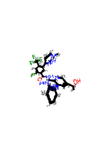 CC(O)C1=CC(=N)/C(=C(/NC(=O)c2cc(C3C=CN(C)N3)c(C(F)(F)F)cc2F)Nc2ccccc2)N=C1